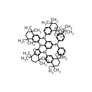 CC1(C)CCC(C)(C)c2cc(N3c4cc5c(cc4B4c6oc7c(c6N(c6ccc8c(c6)C(C)(C)CCC8(C)C)c6cc(N(c8ccccc8)c8ccc([Si](C)(C)C)cc8)cc3c64)C(C)(C)CCC7(C)C)C(C)(C)CCC5(C)C)ccc21